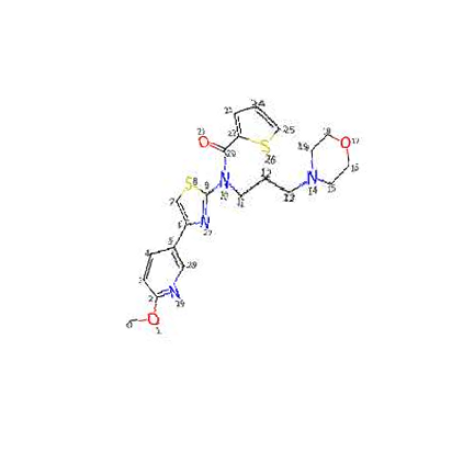 COc1ccc(-c2csc(N(CCCN3CCOCC3)C(=O)c3cccs3)n2)cn1